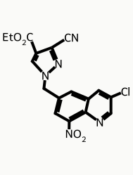 CCOC(=O)c1cn(Cc2cc([N+](=O)[O-])c3ncc(Cl)cc3c2)nc1C#N